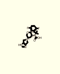 CC(C)(C)N(C(=O)O)[C@H]1C[C@@H](N2Cc3nc[nH]c3C2)CO[C@@H]1c1cc(F)ccc1F